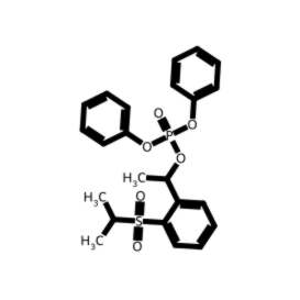 CC(OP(=O)(Oc1ccccc1)Oc1ccccc1)c1ccccc1S(=O)(=O)C(C)C